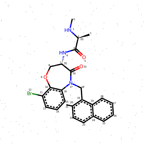 CN[C@@H](C)C(=O)N[C@H]1COc2c(Br)cccc2N(Cc2c(C)ccc3ccccc23)C1=O